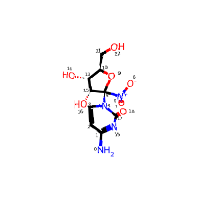 Nc1ccn([C@]2([N+](=O)[O-])O[C@H](CO)[C@@H](O)[C@H]2O)c(=O)n1